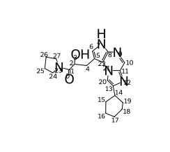 O=C(C(O)Cc1c[nH]c2ncc3nc(C4CCCCC4)cn3c12)N1CCCC1